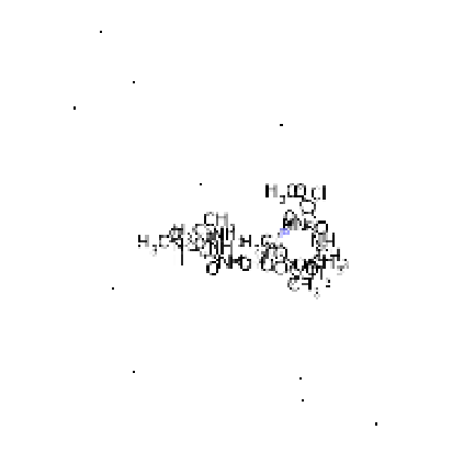 COc1ccc(C[C@H]2NC(=O)/C=C/C[C@@H]([C@H](C)[C@H]3O[C@@H]3c3ccc(CNC(=O)[C@H](CCCCNC(C)=O)NC(=O)[C@@H](N)C(C)C)cc3)OC(=O)[C@H](CC(C)C)OC(=O)C(C)(C)CNC2=O)cc1Cl